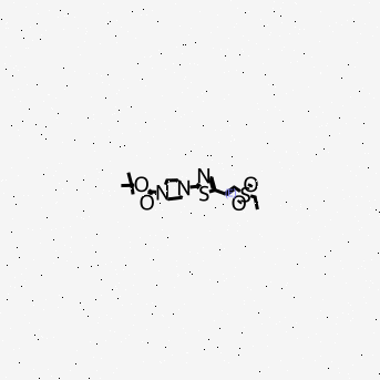 CCS(=O)(=O)/C=C/c1cnc(N2CCN(C(=O)OC(C)(C)C)CC2)s1